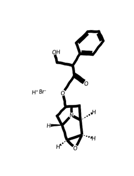 CN1[C@H]2CC(OC(=O)C(CO)c3ccccc3)C[C@H]1[C@H]1O[C@H]12.[Br-].[H+]